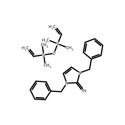 C=C[Si](C)(C)O[Si](C)(C)C=C.[Pt]=[c]1n(Cc2ccccc2)ccn1Cc1ccccc1